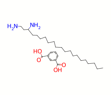 CCCCCCCCCCCCCCCCCCC(N)CCN.O=C(O)c1cccc(C(=O)O)c1